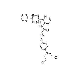 O=C(/C=C/Oc1ccc(N(CCCl)CCCl)cc1)Nc1cccnc1C1=NNC(c2ccccn2)=NN1